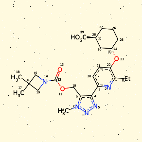 CCc1nc(-c2nnn(C)c2COC(=O)N2CC(C)(C)C2)ccc1O[C@H]1CCC[C@H](C(=O)O)C1